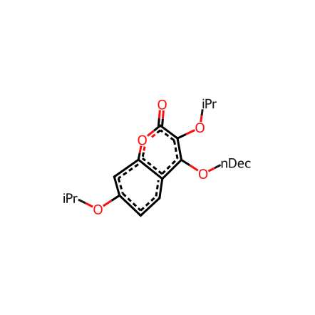 CCCCCCCCCCOc1c(OC(C)C)c(=O)oc2cc(OC(C)C)ccc12